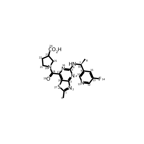 Cc1nc2nc(N[C@@H](C)c3cncc(F)c3)nc(C(=O)N3CCC(C(=O)O)C3)c2s1